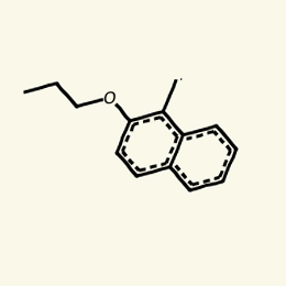 [CH2]c1c(OCCC)ccc2ccccc12